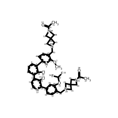 COc1nc(-c2cccc(-c3ccnc(-c4ccc(CN5CC6(C5)CN(C(C)=O)C6)c(OC(F)F)c4)c3Cl)c2Cl)ccc1CN1CC2(C1)CN(C(C)=O)C2